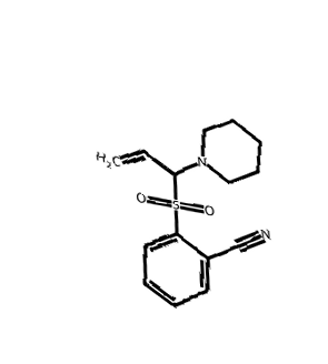 C=CC(N1CCCCC1)S(=O)(=O)c1ccccc1C#N